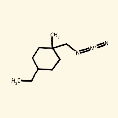 CCC1CCC(C)(CN=[N+]=[N-])CC1